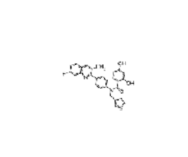 Cc1cc2ccc(F)cc2nc1-c1ccc(N(Cc2ccsc2)C(=O)c2ccc(O)cc2O)cc1